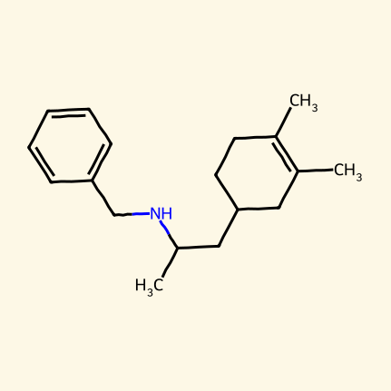 CC1=C(C)CC(CC(C)NCc2ccccc2)CC1